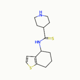 S=C(NC1CCCc2sccc21)C1CCNCC1